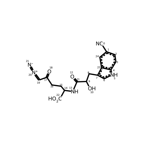 N#Cc1ccc2[nH]cc(CC(O)C(=O)NC(CCC(=O)C=[N+]=[N-])C(=O)O)c2c1